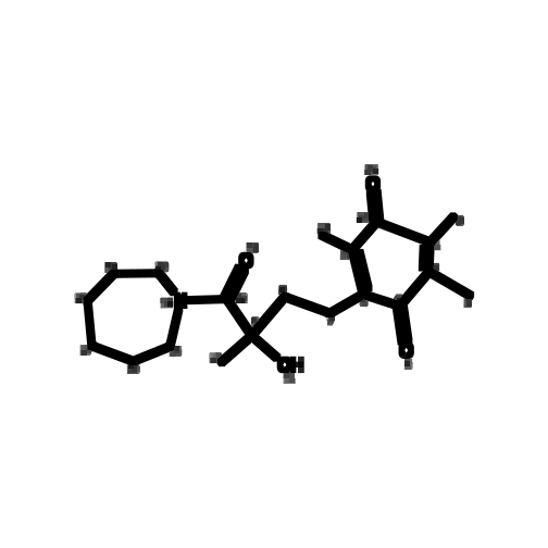 CC1=C(C)C(=O)C(CCC(C)(O)C(=O)N2CCCCCC2)=C(C)C1=O